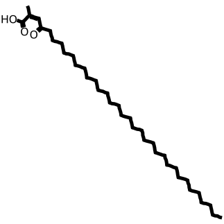 CCCCCCCCCCCCCCCCCCCCCCCCCCCCCCCC(=O)C=C(C)C(=O)O